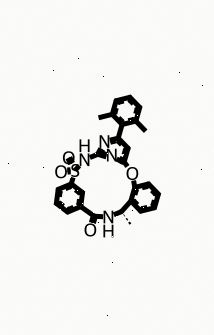 Cc1cccc(C)c1-c1cc2nc(n1)NS(=O)(=O)c1cccc(c1)C(=O)N[C@@H](C)c1ccccc1O2